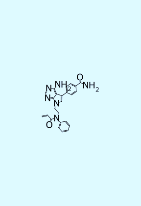 C=CC(=O)N(CCn1cc(-c2ccc(C(N)=O)cc2)c2c(N)ncnc21)c1ccccc1